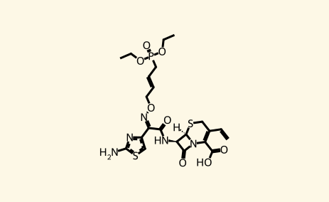 C=CC1=C(C(=O)O)N2C(=O)[C@@H](NC(=O)/C(=N\OC/C=C/CP(=O)(OCC)OCC)c3csc(N)n3)[C@H]2SC1